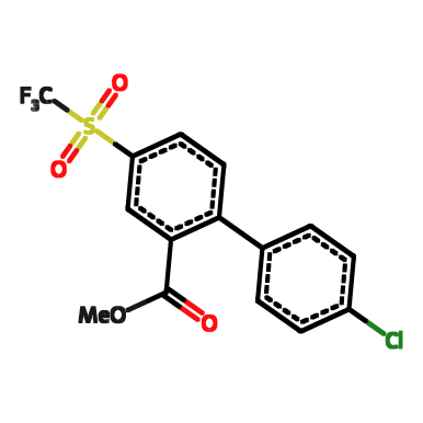 COC(=O)c1cc(S(=O)(=O)C(F)(F)F)ccc1-c1ccc(Cl)cc1